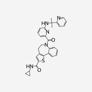 CC(C)(Nc1cccc(C(=O)N2CCc3cc(C(=O)NC4CC4)sc3-c3ccccc32)n1)c1ccccn1